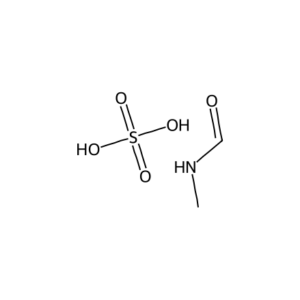 CNC=O.O=S(=O)(O)O